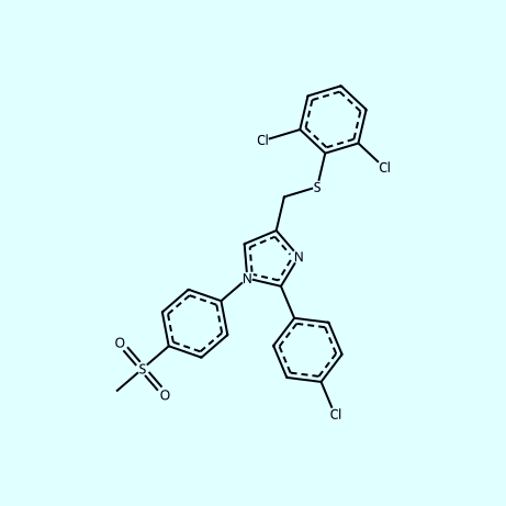 CS(=O)(=O)c1ccc(-n2cc(CSc3c(Cl)cccc3Cl)nc2-c2ccc(Cl)cc2)cc1